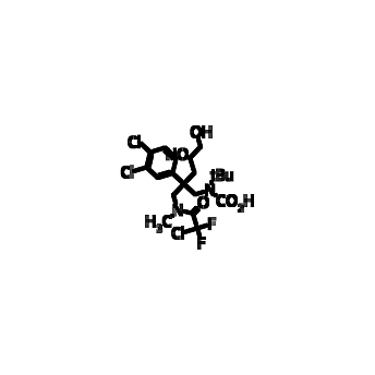 CN(CC(CC(O)CO)(CN(C(=O)O)C(C)(C)C)c1ccc(Cl)c(Cl)c1)C(=O)C(F)(F)Cl